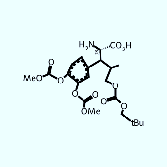 COC(=O)Oc1ccc(C(C(C)COC(=O)OCC(C)(C)C)[C@H](N)C(=O)O)cc1OC(=O)OC